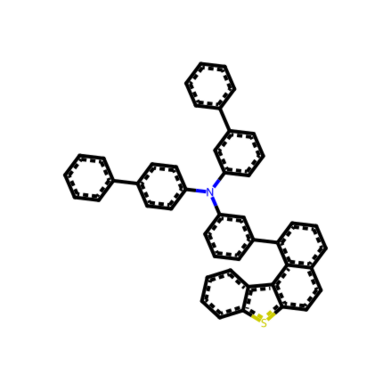 c1ccc(-c2ccc(N(c3cccc(-c4ccccc4)c3)c3cccc(-c4cccc5ccc6sc7ccccc7c6c45)c3)cc2)cc1